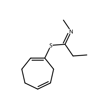 CC/C(=N/C)SC1=CCCC=CC1